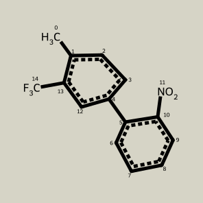 Cc1ccc(-c2ccccc2[N+](=O)[O-])cc1C(F)(F)F